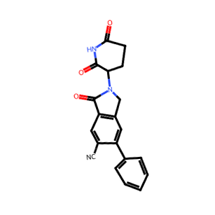 N#Cc1cc2c(cc1-c1ccccc1)CN(C1CCC(=O)NC1=O)C2=O